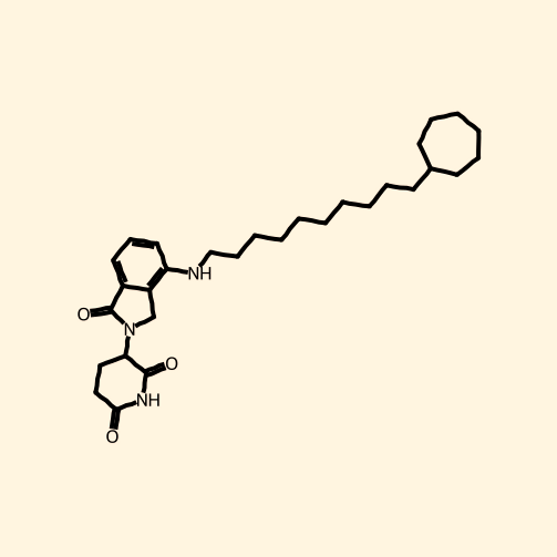 O=C1CCC(N2Cc3c(NCCCCCCCCCCC4CCCCCC4)cccc3C2=O)C(=O)N1